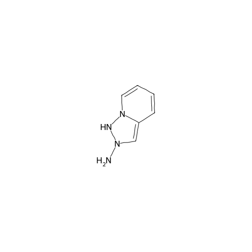 NN1C=C2C=CC=CN2N1